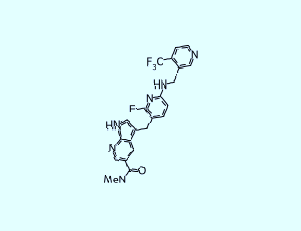 CNC(=O)c1cnc2[nH]cc(Cc3ccc(NCc4cnccc4C(F)(F)F)nc3F)c2c1